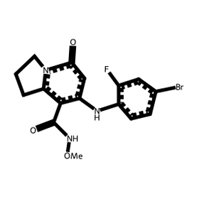 CONC(=O)c1c(Nc2ccc(Br)cc2F)cc(=O)n2c1CCC2